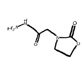 NNC(=O)CN1CCOC1=O